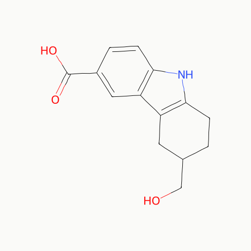 O=C(O)c1ccc2[nH]c3c(c2c1)CC(CO)CC3